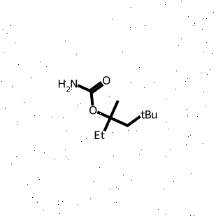 CCC(C)(CC(C)(C)C)OC(N)=O